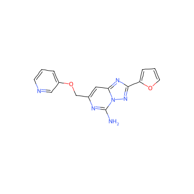 Nc1nc(COc2cccnc2)cc2nc(-c3ccco3)nn12